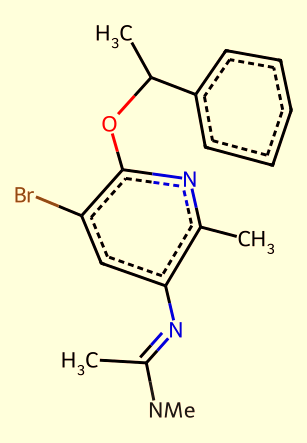 CNC(C)=Nc1cc(Br)c(OC(C)c2ccccc2)nc1C